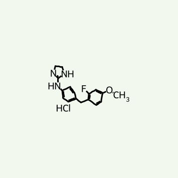 COc1ccc(Cc2ccc(NC3=NCCN3)cc2)c(F)c1.Cl